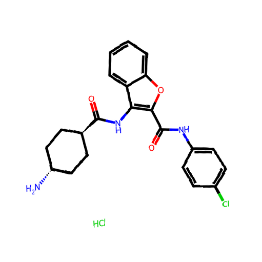 Cl.N[C@H]1CC[C@H](C(=O)Nc2c(C(=O)Nc3ccc(Cl)cc3)oc3ccccc23)CC1